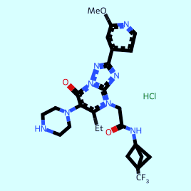 CCc1c(N2CCNCC2)c(=O)n2nc(-c3ccnc(OC)c3)nc2n1CC(=O)NC12CC(C(F)(F)F)(C1)C2.Cl